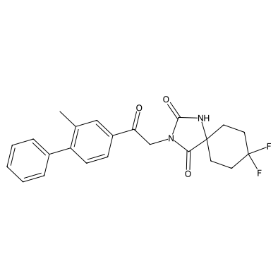 Cc1cc(C(=O)CN2C(=O)NC3(CCC(F)(F)CC3)C2=O)ccc1-c1ccccc1